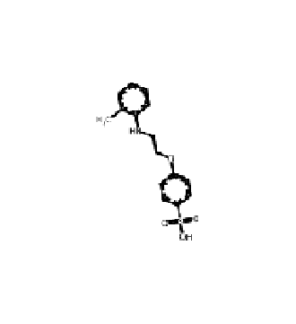 Cc1ccccc1NCCOc1ccc(S(=O)(=O)O)cc1